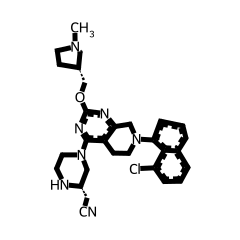 CN1CC[C@@H](COc2nc3c(c(N4CCN[C@@H](CC#N)C4)n2)CCN(c2cccc4cccc(Cl)c24)C3)C1